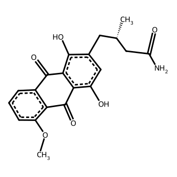 COc1cccc2c1C(=O)c1c(O)cc(C[C@H](C)CC(N)=O)c(O)c1C2=O